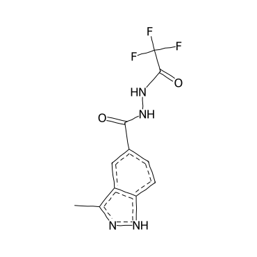 Cc1n[nH]c2ccc(C(=O)NNC(=O)C(F)(F)F)cc12